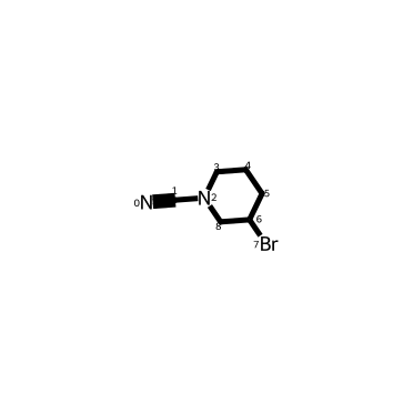 N#CN1CCCC(Br)C1